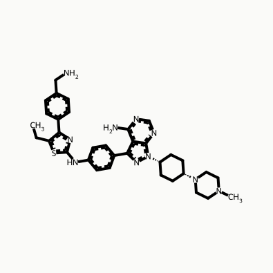 CCc1sc(Nc2ccc(-c3nn([C@H]4CC[C@@H](N5CCN(C)CC5)CC4)c4ncnc(N)c34)cc2)nc1-c1ccc(CN)cc1